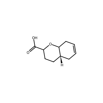 O=C(O)C1CC[C@H]2CC=CCC2O1